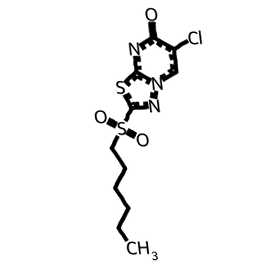 CCCCCCS(=O)(=O)c1nn2cc(Cl)c(=O)nc2s1